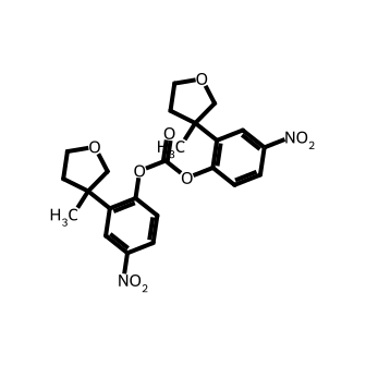 CC1(c2cc([N+](=O)[O-])ccc2OC(=O)Oc2ccc([N+](=O)[O-])cc2C2(C)CCOC2)CCOC1